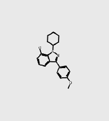 COc1ccc(-c2nn(C3CCCCC3)c3c(Cl)cccc23)cc1